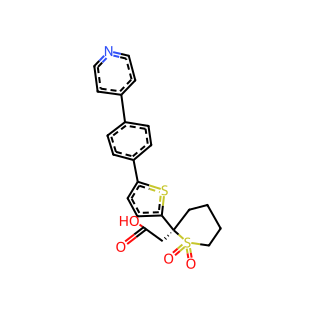 O=C(O)C[C@]1(c2ccc(-c3ccc(-c4ccncc4)cc3)s2)CCCCS1(=O)=O